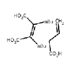 C=CCC(=O)O.CCCC/C(C(=O)O)=C(\CCCC)C(=O)O